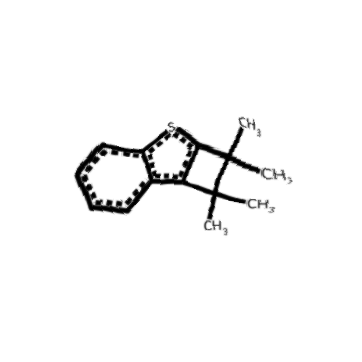 CC1(C)c2sc3ccccc3c2C1(C)C